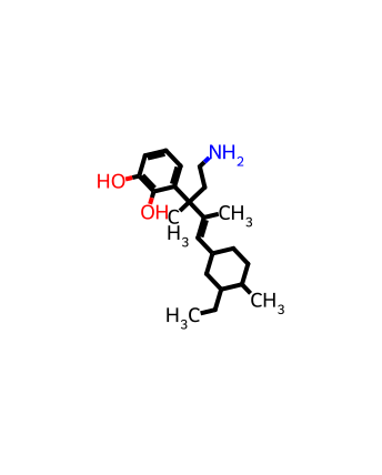 CCC1CC(/C=C(\C)C(C)(CCN)c2cccc(O)c2O)CCC1C